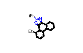 CCc1cccc2c3ccccc3c3nn(C(C)C)nc3c12